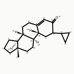 C[C@@]12CCC[C@H]1[C@@H]1CCC3=CC(=O)C(C4CC4)C[C@@H]3[C@H]1CC2